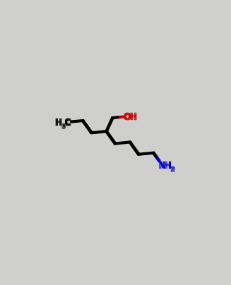 CCCC(CO)CCCCN